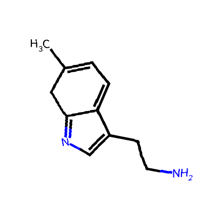 CC1=CC=C2C(CCN)=CN=C2C1